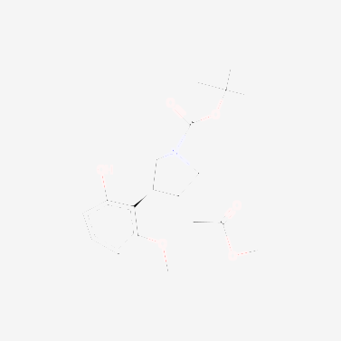 COC(=O)C[C@H]1CN(C(=O)OC(C)(C)C)C[C@@H]1c1c(O)cccc1OC